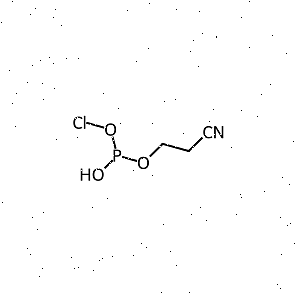 N#CCCOP(O)OCl